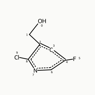 OCc1cc(F)cnc1Cl